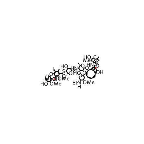 CCN[C@H]1CO[C@@H](O[C@H]2[C@H](O[C@H]3C#CC=CC#C[C@]4(O)CC(=O)C(NC(=O)OC)=C3/C4=C\CSSC(C)(C)C(=O)O)O[C@H](C)[C@@H](NO[C@H]3C[C@H](O)[C@H](SC(=O)c4c(C)c(I)c(O[C@@H]5O[C@@H](C)[C@H](O)[C@@H](OC)[C@H]5O)c(OC)c4OC)[C@@H](C)O3)[C@@H]2O)C[C@@H]1OC